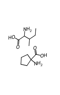 CCC(C)C(N)C(=O)O.NC1(C(=O)O)CCCC1